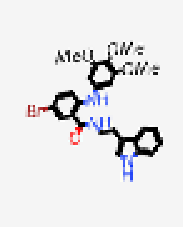 COc1cc(Nc2ccc(Br)cc2C(=O)NCCc2c[nH]c3ccccc23)cc(OC)c1OC